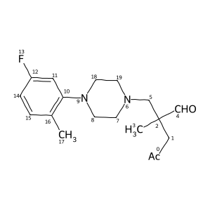 CC(=O)CC(C)(C=O)CN1CCN(c2cc(F)ccc2C)CC1